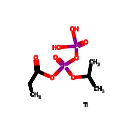 CCC(=O)OP(=O)(OC(C)C)OP(=O)(O)O.[Ti]